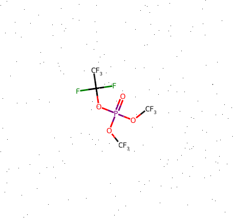 O=P(OC(F)(F)F)(OC(F)(F)F)OC(F)(F)C(F)(F)F